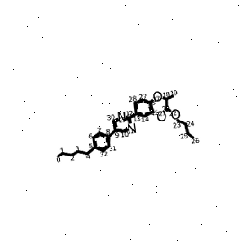 CCCCCc1ccc(-c2cnc(-c3ccc(OC(C)C(=O)OCCCC)cc3)nc2)cc1